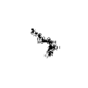 CCC(=O)SCCNC(=O)CCNC(=O)C(O)C(C)(C)COP(=O)(O)OP(=O)(O)OC[C@H]1O[C@@H](n2cnc3c(N)ncnc32)[C@H](O)[C@@H]1OP(=O)(O)O